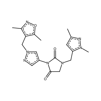 Cc1cc(CN2CC(=O)N(c3cnn(Cc4c(C)noc4C)c3)C2=O)n(C)n1